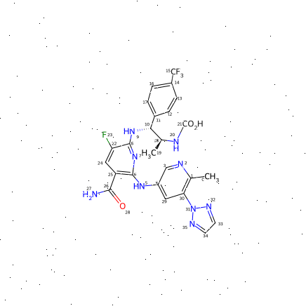 Cc1ncc(Nc2nc(N[C@H](c3ccc(C(F)(F)F)cc3)[C@H](C)NC(=O)O)c(F)cc2C(N)=O)cc1-n1nccn1